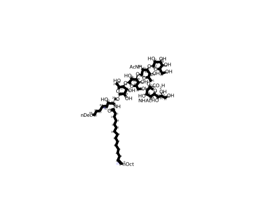 CCCCCCCC/C=C\CCCCCCCCCCCCCC(=O)N[C@@H](CO[C@@H]1OC(CO)[C@@H](O[C@@H]2OC(CO)[C@H](O)[C@H](O[C@@H]3OC(CO[C@]4(C(=O)O)CC(O)[C@@H](NC(C)=O)C([C@H](O)[C@H](O)CO)O4)[C@@H](O)[C@H](O[C@@H]4OC(CO)[C@H](O)[C@H](O)C4O)C3NC(C)=O)C2O)[C@H](O)C1O)[C@H](O)/C=C/CCCCCCCCCCCCC